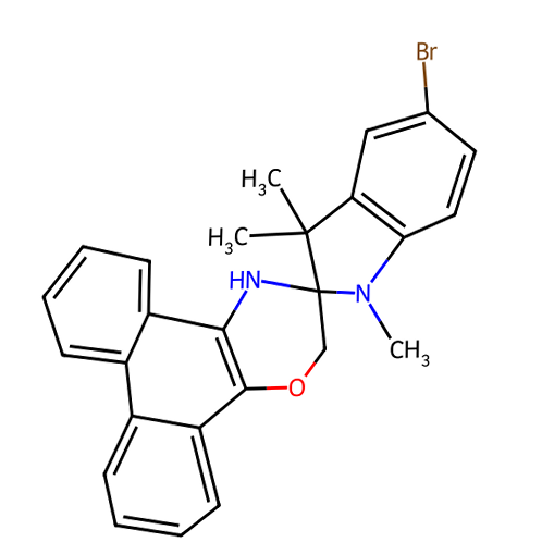 CN1c2ccc(Br)cc2C(C)(C)C12COc1c(c3ccccc3c3ccccc13)N2